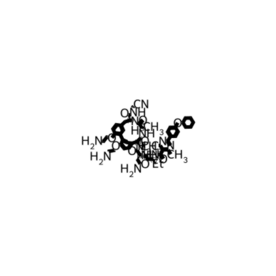 CC[C@H](NC(=O)c1c(C)nc(-c2ccc(OC3CCCCC3)cc2)nc1C)C(=O)N[C@@H](CCN)C(=O)N(C)[C@@H]1C(=O)N[C@@H](C)C(=O)N[C@H](C(=O)NCC#N)Cc2ccc(OCCN)c(c2)-c2cc1ccc2OCCN